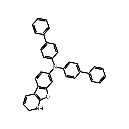 C1=Cc2c(oc3cc(N(c4ccc(-c5ccccc5)cc4)c4ccc(-c5ccccc5)cc4)ccc23)NC1